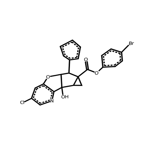 O=C(Oc1ccc(Br)cc1)C12CC1C1(O)c3ncc(Cl)cc3OC1C2c1ccccc1